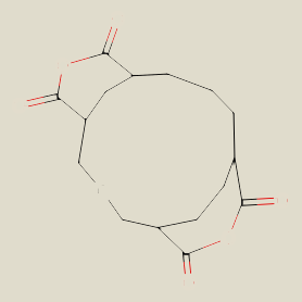 O=C1OC(=O)C2CCCC3CC(CCCC1CC2)C(=O)OC3=O